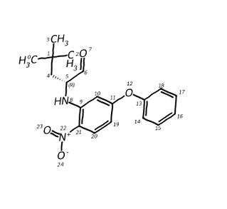 CC(C)(C)C[C@H](C=O)Nc1cc(Oc2ccccc2)ccc1[N+](=O)[O-]